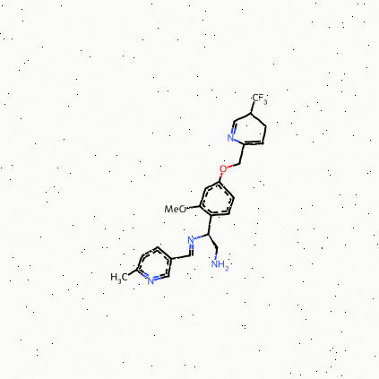 COc1cc(OCC2=CCC(C(F)(F)F)C=N2)ccc1[C@@H](CN)/N=C/c1ccc(C)nc1